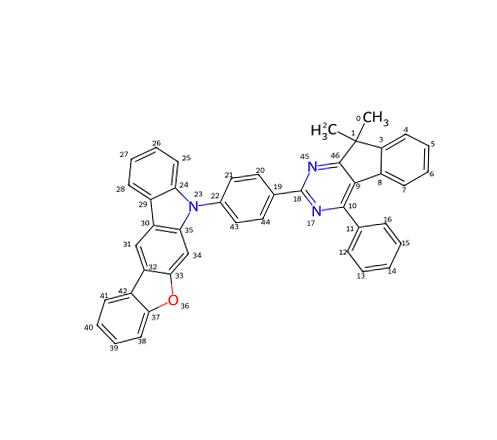 CC1(C)c2ccccc2-c2c(-c3ccccc3)nc(-c3ccc(-n4c5ccccc5c5cc6c(cc54)oc4ccccc46)cc3)nc21